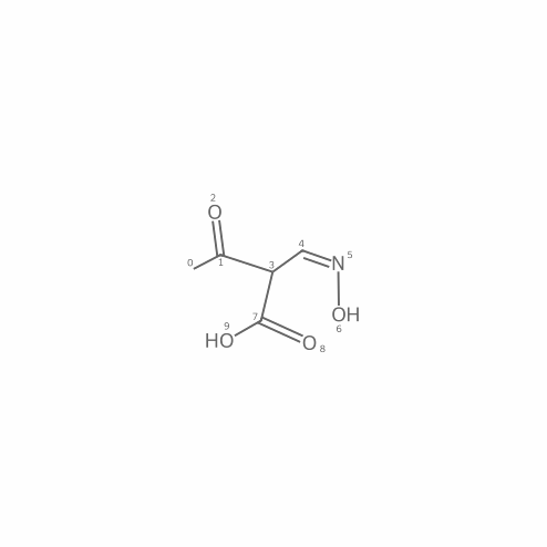 CC(=O)C(/C=N\O)C(=O)O